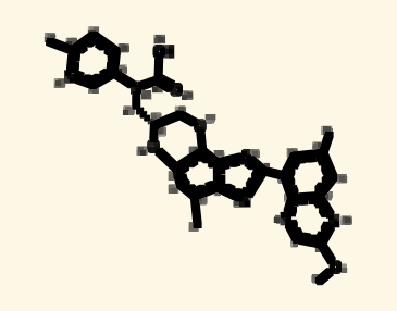 COc1cnc2c(-c3nc4c(C)cc5c(c4s3)OC[C@@H](CN(C(=O)O)c3ccc(C)nc3)O5)cc(C)cc2n1